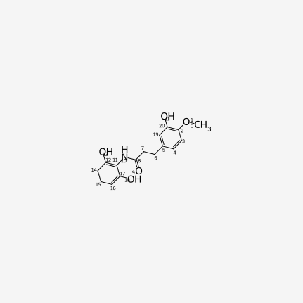 COc1ccc(CCC(=O)NC2=C(O)CCC=C2O)cc1O